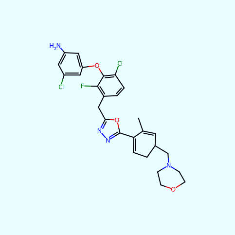 CC1=CC(CN2CCOCC2)CC=C1c1nnc(Cc2ccc(Cl)c(Oc3cc(N)cc(Cl)c3)c2F)o1